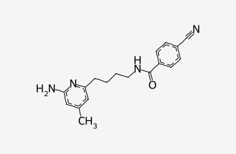 Cc1cc(N)nc(CCCCNC(=O)c2ccc(C#N)cc2)c1